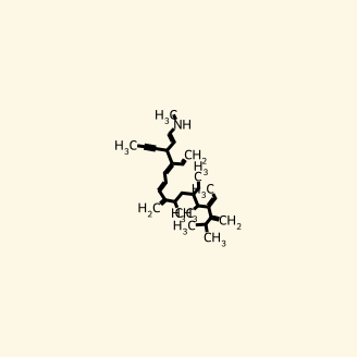 C=C/C(=C\C=C\C(=C)C(C)CC(CC)C(C)/C(=C\C)C(=C)C(C)C)C(C#CC)/C=C/NC